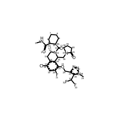 CNC(=O)[C@@]1(C)CCCC[C@H]1C(=O)N1CCc2c(Cl)cc(F)c(OCc3nnn(C)c3C(F)F)c2C1CN1CCCC1=O